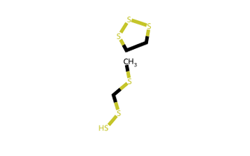 C1CSSS1.CSCSS